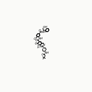 CC(C)(C)CC(=O)NC1CCN(c2ncc3cc(C(=O)Nc4cc(C(=O)NC(CO)c5ccccc5)ccc4Cl)c(=O)[nH]c3n2)CC1